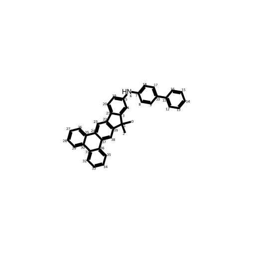 CC1(C)c2cc(Nc3ccc(-c4ccccc4)cc3)ccc2-c2cc3c4ccccc4c4ccccc4c3cc21